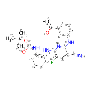 CC(=O)c1cccc(Nc2nc(N[C@@H]3CCCC[C@@H]3NC(=O)OC(C)(C)C)c(F)cc2C#N)c1